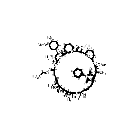 CO[C@H]1C[C@@H]2CC[C@@H](C)[C@@](O)(O2)C(O)C(=O)N2CCCC[C@H]2C(=O)O[C@H]([C@H](C)C[C@@H]2CC[C@@H](O)[C@H](OC)C2)C/C(=N/OCC(=O)O)C/C=C(\C)[C@@H](O)[C@@H](OC)C(=O)[C@H](C)C[C@H](C)/C=C/C2C=CC1(C)n1c(=O)n(-c3ccccc3)c(=O)n12